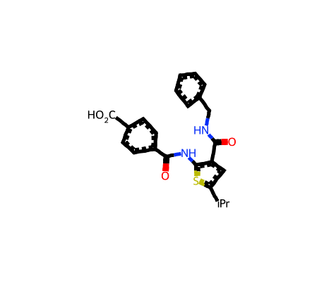 CC(C)c1cc(C(=O)NCc2ccccc2)c(NC(=O)c2ccc(C(=O)O)cc2)s1